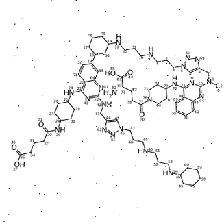 CN(Cc1cn(CCCNCCCNC2CCCC(c3ccc4c(NC5CCC(NC(=O)CCCC(=O)O)CC5)nc(NCc5cn(CCCNCCCNC6CCCCC6)nn5)nc4c3)C2)nn1)c1nc(NC2CCN(C(=O)CC[C@H](N)C(=O)O)CC2)c2ccccc2n1